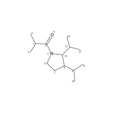 CC(C)C(=O)N1CCC(C(C)C)C1C(C)C